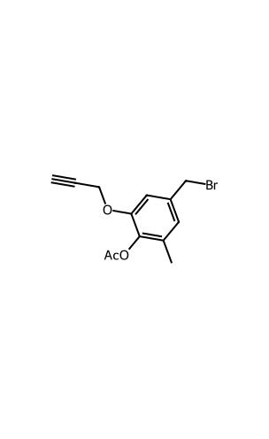 C#CCOc1cc(CBr)cc(C)c1OC(C)=O